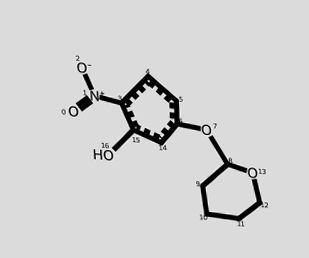 O=[N+]([O-])c1ccc(OC2CCCCO2)cc1O